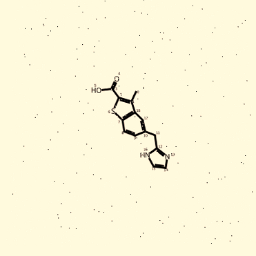 Cc1c(C(=O)O)sc2ccc(Cc3ncc[nH]3)cc12